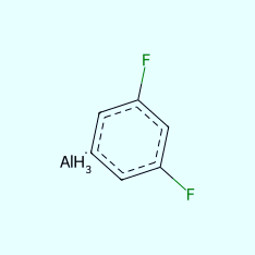 Fc1c[c]cc(F)c1.[AlH3]